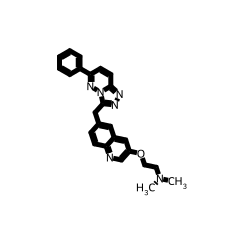 CN(C)CCOc1cnc2ccc(Cc3nnc4ccc(-c5ccccc5)nn34)cc2c1